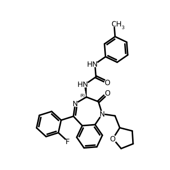 Cc1cccc(NC(=O)N[C@@H]2N=C(c3ccccc3F)c3ccccc3N(CC3CCCO3)C2=O)c1